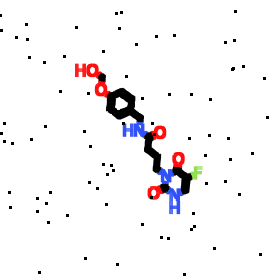 O=C(CCCn1c(=O)[nH]cc(F)c1=O)NCc1ccc(OCO)cc1